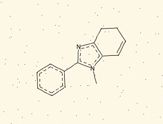 Cn1c(-c2ccccc2)nc2c1C=CCC2